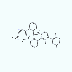 C=C(/C=C\C=C/C)C1=CC=CCC1C(C=CCC)(CC)N1CC=CC=C1c1c(C)ccc(C2=C(C)C=CC(C)C2)c1C